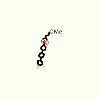 COCCCC1COC(C2CCC(c3ccc(-c4ccc(F)c(F)c4)cc3)CC2)OC1